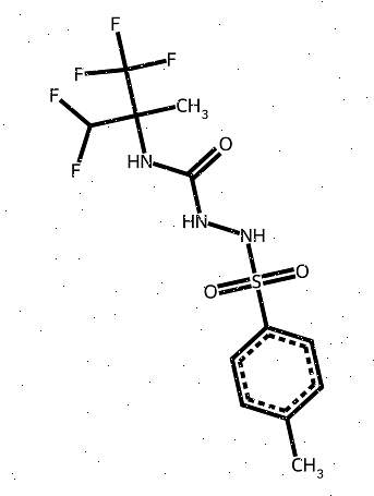 Cc1ccc(S(=O)(=O)NNC(=O)NC(C)(C(F)F)C(F)(F)F)cc1